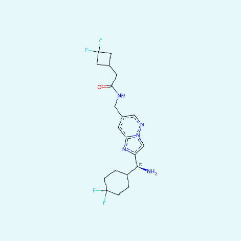 N[C@H](c1cn2ncc(CNC(=O)CC3CC(F)(F)C3)cc2n1)C1CCC(F)(F)CC1